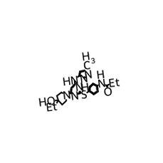 CCC(=O)Nc1ccc(Sc2nc(Nc3cc(C)n[nH]3)cc(N3CCC(O)(CC)CC3)n2)cc1